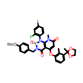 COc1ccc(Cn2c(=O)c3c(Oc4cccc(C5(C)OCCO5)c4C)cc(=O)n(C)c3n(-c3ccc(I)cc3F)[13c]2=O)cc1